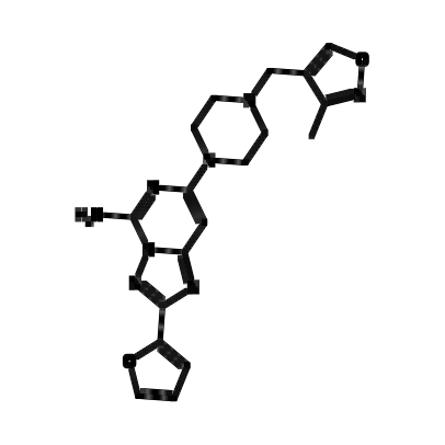 Cc1nocc1CN1CCN(c2cc3nc(-c4ccco4)nn3c(N)n2)CC1